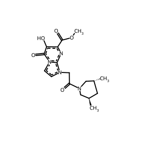 COC(=O)c1nc2n(CC(=O)N3C[C@H](C)C[C@@H](C)C3)ccn2c(=O)c1O